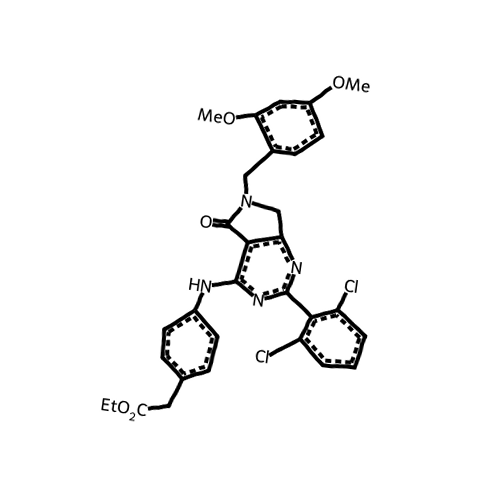 CCOC(=O)Cc1ccc(Nc2nc(-c3c(Cl)cccc3Cl)nc3c2C(=O)N(Cc2ccc(OC)cc2OC)C3)cc1